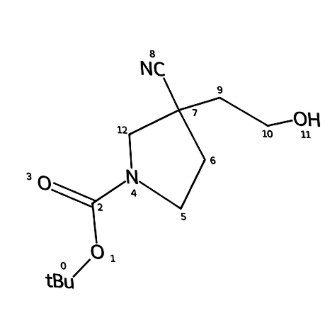 CC(C)(C)OC(=O)N1CCC(C#N)(CCO)C1